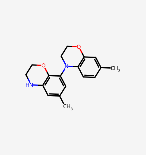 Cc1ccc2c(c1)OCCN2c1cc(C)cc2c1OCCN2